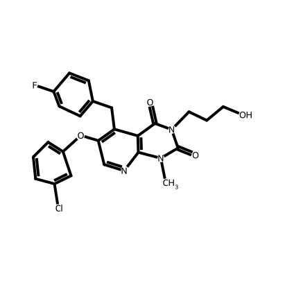 Cn1c(=O)n(CCCO)c(=O)c2c(Cc3ccc(F)cc3)c(Oc3cccc(Cl)c3)cnc21